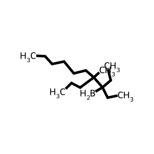 BC(CC)(CC)C(C)(CCC)CCCCCC